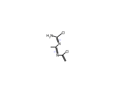 C=C(Cl)/N=C(C)\N=C(/N)Cl